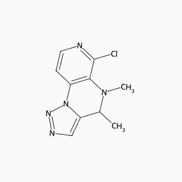 CC1c2cnnn2-c2ccnc(Cl)c2N1C